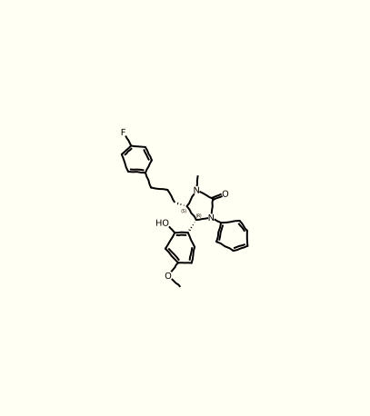 COc1ccc([C@@H]2[C@H](CCCc3ccc(F)cc3)N(C)C(=O)N2c2ccccc2)c(O)c1